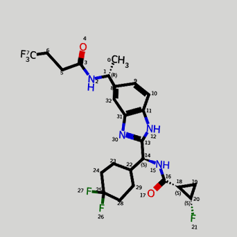 C[C@@H](NC(=O)CCC(F)(F)F)c1ccc2[nH]c([C@@H](NC(=O)[C@@H]3C[C@@H]3F)C3CCC(F)(F)CC3)nc2c1